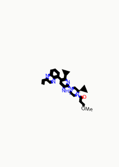 C=Cc1cnc2c(-c3cc(N)c(N4CCN(C(=O)CCOC)[C@H](C5CC5)C4)nc3C3CC3)cccc2n1